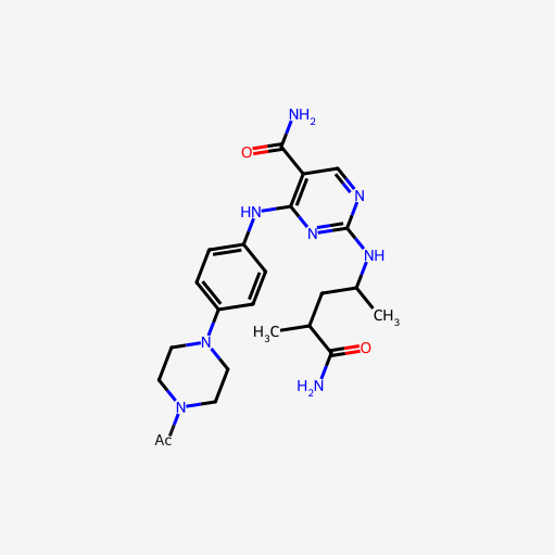 CC(=O)N1CCN(c2ccc(Nc3nc(NC(C)CC(C)C(N)=O)ncc3C(N)=O)cc2)CC1